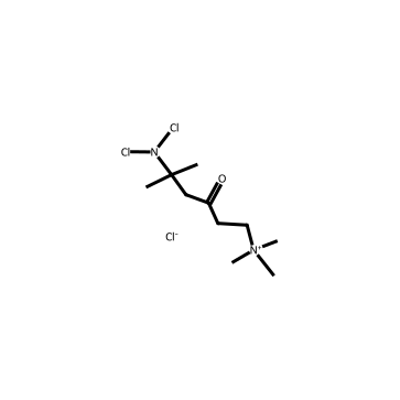 CC(C)(CC(=O)CC[N+](C)(C)C)N(Cl)Cl.[Cl-]